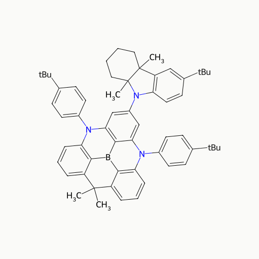 CC(C)(C)c1ccc(N2c3cc(N4c5ccc(C(C)(C)C)cc5C5(C)CCCCC45C)cc4c3B3c5c2cccc5C(C)(C)c2cccc(c23)N4c2ccc(C(C)(C)C)cc2)cc1